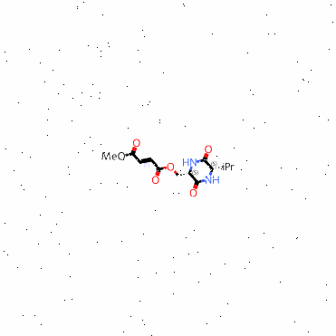 COC(=O)/C=C/C(=O)OC[C@@H]1NC(=O)[C@H](C(C)C)NC1=O